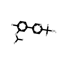 CC(F)(F)c1ccc(-c2ccc(F)c(OC(F)F)c2)cn1